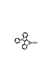 OC1C2c3c(n(-c4ccccc4)c4ccccc34)-c3cccc[n+]3C12